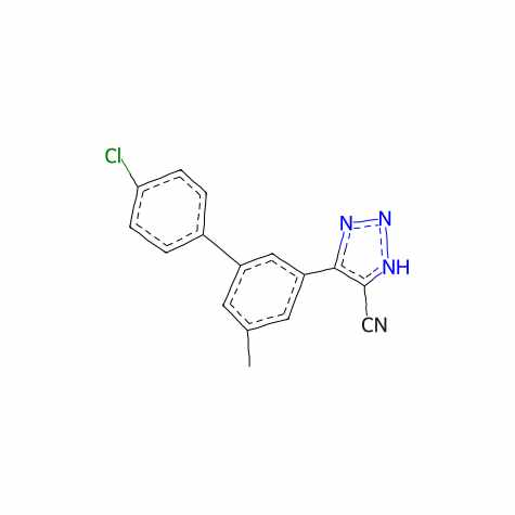 Cc1cc(-c2ccc(Cl)cc2)cc(-c2nn[nH]c2C#N)c1